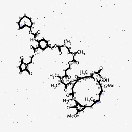 COc1cc2cc(c1Cl)N(C)C(=O)C[C@H](OC(=O)[C@H](C)N(C)C(=O)CCOC(=O)N(C)CCN(C)C(=O)OCc1ccc(NC(=O)OC3/C=C/CCCCC3)c(C(=O)NCCN3C(=O)C=CC3=O)c1)[C@]1(C)OC1[C@H](C)[C@@H]1C[C@@](O)(NC(=O)O1)[C@H](OC)/C=C/C=C(\C)C2